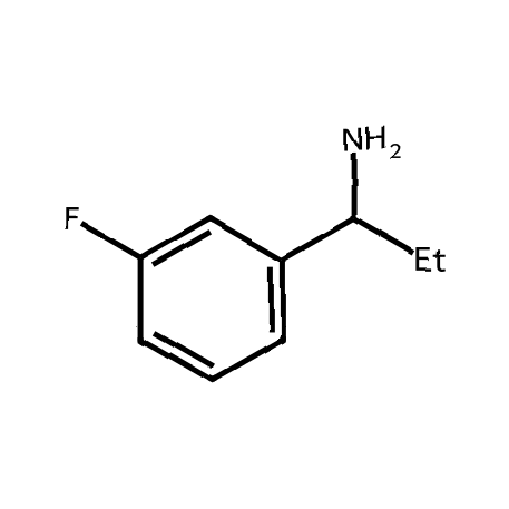 CCC(N)c1cccc(F)c1